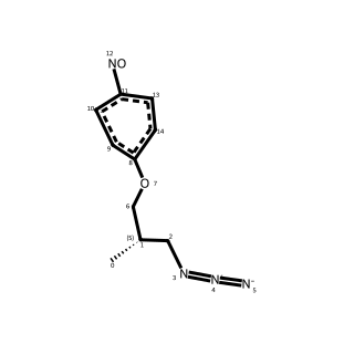 C[C@@H](CN=[N+]=[N-])COc1ccc(N=O)cc1